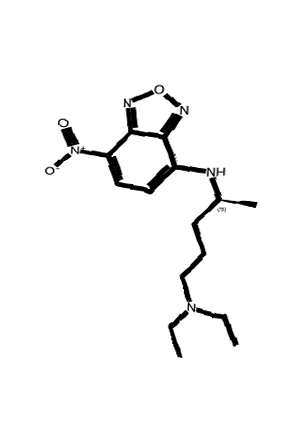 CCN(CC)CCC[C@H](C)Nc1ccc([N+](=O)[O-])c2nonc12